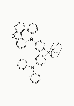 c1ccc(N(c2ccccc2)c2ccc(C3(c4ccc(N(c5ccccc5)c5cccc6oc7ccccc7c56)cc4)C4CC5CC(C4)CC3C5)cc2)cc1